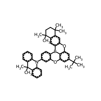 CC(C)(C)c1cc2c3c(c1)Oc1cc4c(cc1B3c1ccc(N3c5ccccc5C(C)(C)c5ccccc53)cc1O2)C(C)(C)CCC4(C)C